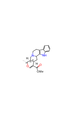 COC(=O)C1=CO[C@H](C)[C@H]2CN3CCc4c([nH]c5ccccc45)C3C[C@@H]12